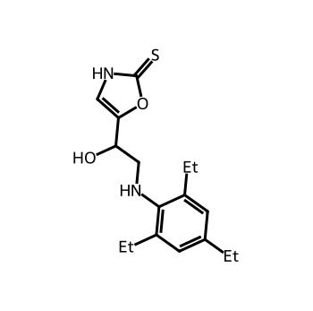 CCc1cc(CC)c(NCC(O)c2c[nH]c(=S)o2)c(CC)c1